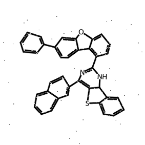 c1ccc(-c2ccc3c(c2)oc2cccc(C4=NC(c5ccc6ccccc6c5)=C5Sc6ccccc6C5N4)c23)cc1